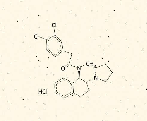 CN(C(=O)Cc1ccc(Cl)c(Cl)c1)[C@@H]1c2ccccc2CC[C@H]1N1CCCC1.Cl